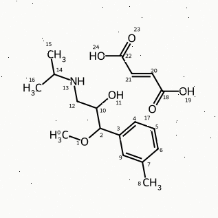 COC(c1cccc(C)c1)C(O)CNC(C)C.O=C(O)C=CC(=O)O